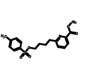 Cc1ccc(S(=O)(=O)OCCCCc2cccc(C(=O)OC(C)(C)C)n2)cc1